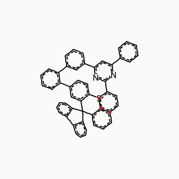 c1ccc(-c2cc(-c3cccc(-c4ccccc4-c4ccc5c(c4)C4(c6ccccc6S5)c5ccccc5-c5ccccc54)c3)nc(-c3ccccc3)n2)cc1